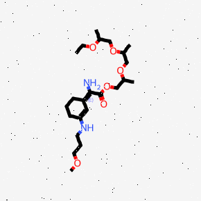 CCOC(C)COC(C)COC(C)COC(=O)/C(N)=C1\C=C(NCCCOC)CCC1